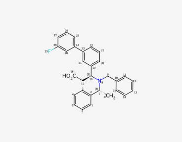 C[C@H](c1ccccc1)N(Cc1ccccc1)[C@@H](CC(=O)O)c1cccc(-c2cccc(F)c2)c1